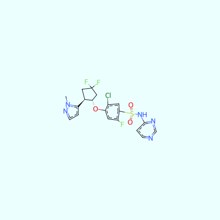 Cn1nccc1[C@H]1CC(F)(F)C[C@@H]1Oc1cc(F)c(S(=O)(=O)Nc2ccncn2)cc1Cl